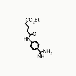 CCOC(=O)[CH]CCC(=O)Nc1ccc(C(=N)N)cc1